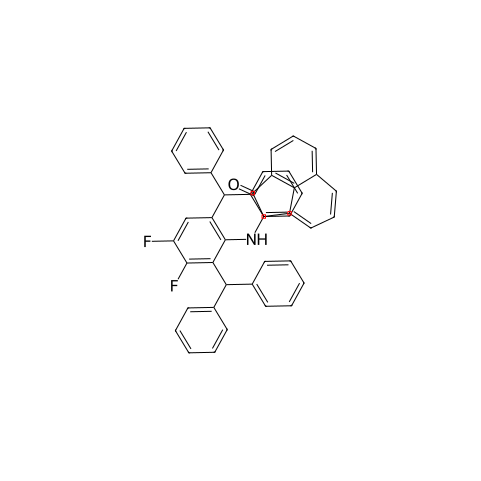 O=C1c2cccc3cccc(c23)C1Nc1c(C(c2ccccc2)c2ccccc2)cc(F)c(F)c1C(c1ccccc1)c1ccccc1